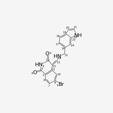 O=C1NC(=O)c2ccc(Br)cc2C1=CNCc1ccc2cc[nH]c2c1